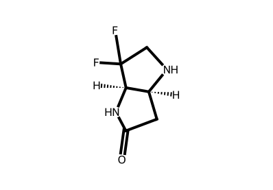 O=C1C[C@@H]2NCC(F)(F)[C@@H]2N1